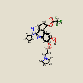 COc1cc2c3c(c(NC4CCCC4)nc2cc1OCCCN1CCCC1)CCC3OC(=O)C(F)(F)F